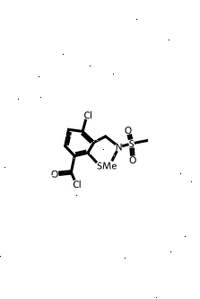 CSc1c(C(=O)Cl)ccc(Cl)c1CN(C)S(C)(=O)=O